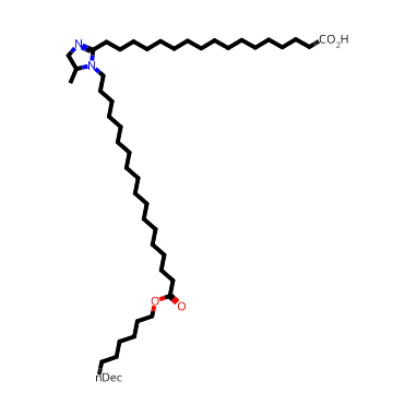 CCCCCCCCCCCCCCCCOC(=O)CCCCCCCCCCCCCCCCCN1C(CCCCCCCCCCCCCCCCC(=O)O)=NCC1C